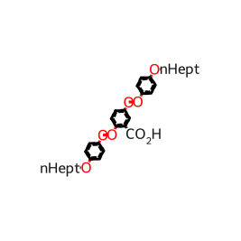 CCCCCCCOc1ccc(OOc2ccc(OOc3ccc(OCCCCCCC)cc3)c(C(=O)O)c2)cc1